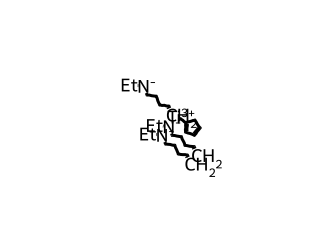 C=CCCC[N-]CC.C=CCCC[N-]CC.C=CCCC[N-]CC.[Ti+3][C]1=CC=CC1